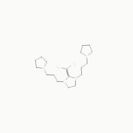 C[C@H]1CCCN1CCCN1CCN(CCCN2CCC[C@@H]2C)C1=C(C#N)C#N